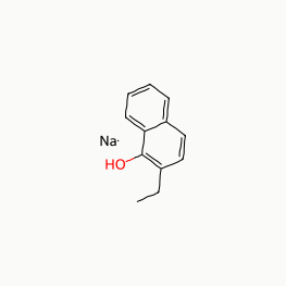 CCc1ccc2ccccc2c1O.[Na]